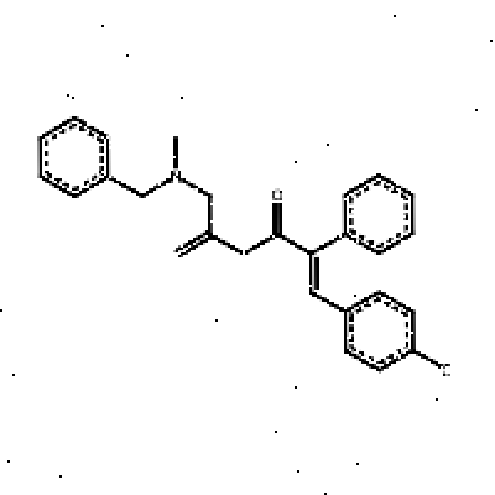 C=C(CC(=O)/C(=C/c1ccc(Cl)cc1)c1ccccc1)CN(C)Cc1ccccc1